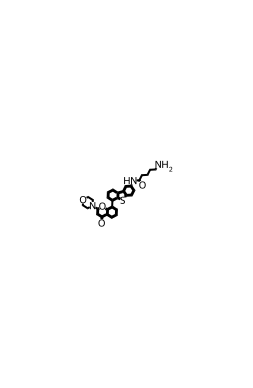 NCCCCC(=O)Nc1ccc2sc3c(-c4cccc5c(=O)cc(N6CCOCC6)oc45)cccc3c2c1